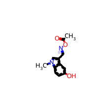 CC(=O)O/N=C/c1cn(C)c2ccc(O)cc12